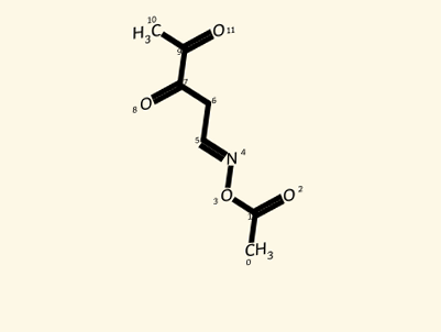 CC(=O)ON=CCC(=O)C(C)=O